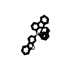 c1ccc(N(c2ccc3c(c2)oc2ccccc23)c2cccc3c2C2(c4ccccc4-3)C3CC4CC(C3)CC2C4)cc1